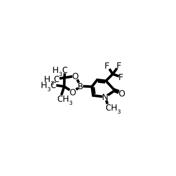 Cn1cc(B2OC(C)(C)C(C)(C)O2)cc(C(F)(F)F)c1=O